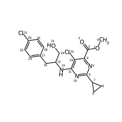 COC(=O)c1nc(C2CC2)nc(NC(CO)Cc2ccc(Cl)cc2)c1Cl